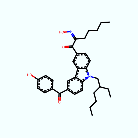 CCCCC/C(=N/O)C(=O)c1ccc2c(c1)c1cc(C(=O)c3ccc(O)cc3)ccc1n2CC(CC)CCCC